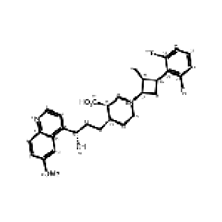 COc1ccc2nccc([C@@H](O)CC[C@@H]3CCN(C4CC(c5c(F)cccc5F)C4C)C[C@@H]3C(=O)O)c2c1